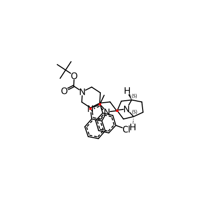 Cc1nc2ccccc2n1C1C[C@@H]2CC[C@@H](C1)N2CCC1(c2cccc(Cl)c2)CCN(C(=O)OC(C)(C)C)CC1